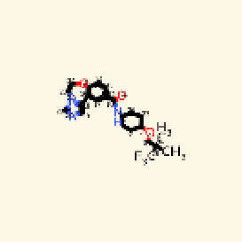 CC(C)(COC1CCC(NC(=O)c2ccc3c(c2)-c2cncn2CCO3)CC1)C(F)(F)F